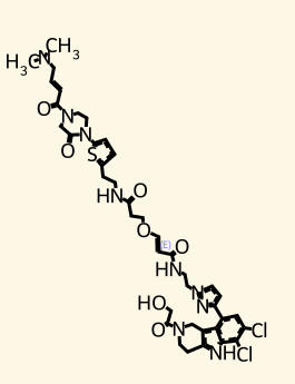 CN(C)CC=CC(=O)N1CCN(c2ccc(CCNC(=O)CCO/C=C/C(=O)NCCn3ccc(-c4cc(Cl)c(Cl)c5[nH]c6c(c45)CN(C(=O)CO)CC6)n3)s2)C(=O)C1